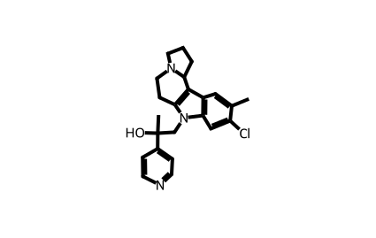 Cc1cc2c3c(n(CC(C)(O)c4ccncc4)c2cc1Cl)CCN1CCCC31